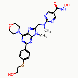 CN(Cc1nc2c(N3CCOCC3)nc(-c3ccc(SCCO)cc3)nc2n1C)c1ncc(C(=O)NO)cn1